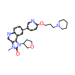 Cn1c(=O)n(C2CCOC2)c2c3cc(-c4ccc(OCCCN5CCCCC5)nc4)ccc3ncc21